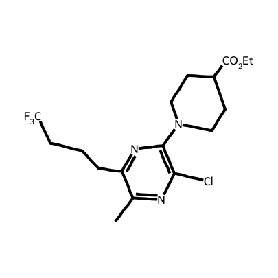 CCOC(=O)C1CCN(c2nc(CCCC(F)(F)F)c(C)nc2Cl)CC1